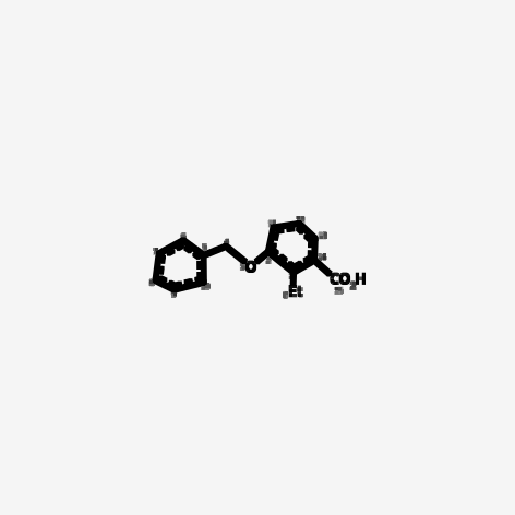 CCc1c(OCc2ccccc2)cccc1C(=O)O